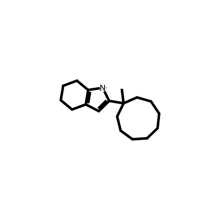 CC1(C2=CC3=C(CCCC3)[N]2)CCCCCCCC1